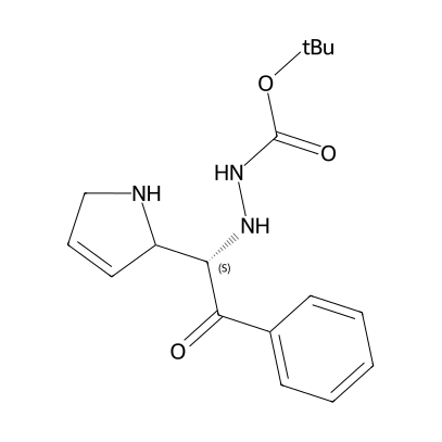 CC(C)(C)OC(=O)NN[C@H](C(=O)c1ccccc1)C1C=CCN1